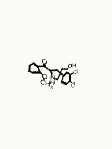 COc1ccccc1C(=O)C1CC(CCO)(c2ccc(Cl)c(Cl)c2)CN1